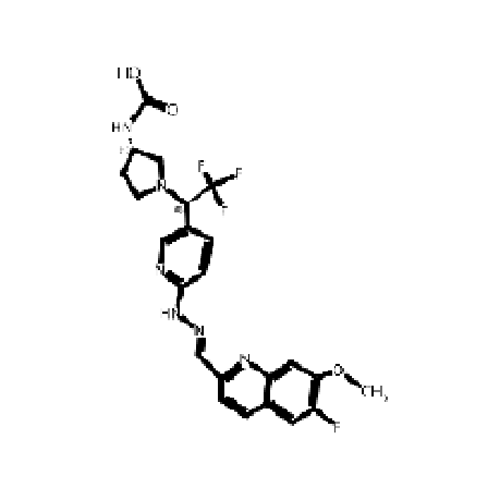 COc1cc2nc(C=NNc3ccc([C@@H](N4CC[C@H](NC(=O)O)C4)C(F)(F)F)cn3)ccc2cc1F